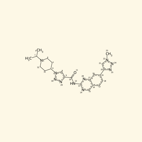 CC(C)N1CCC(n2cc(C(=O)Nc3ncc4ccc(-c5cn(C)nn5)cc4n3)nn2)CC1